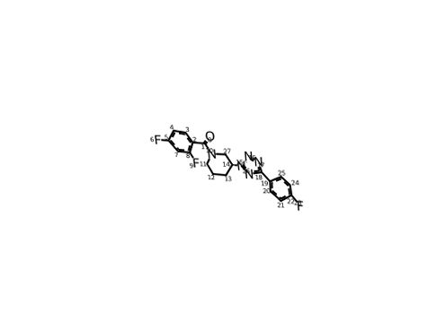 O=C(c1ccc(F)cc1F)N1CCC[C@H](n2nnc(-c3ccc(F)cc3)n2)C1